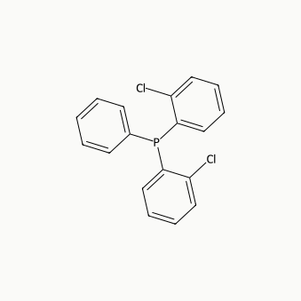 Clc1ccccc1P(c1ccccc1)c1ccccc1Cl